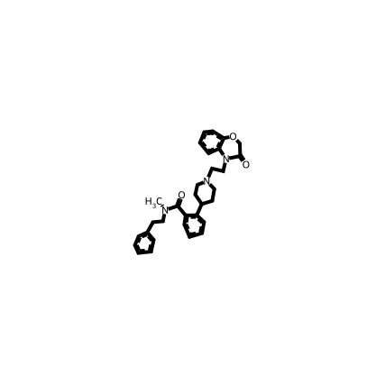 CN(CCc1ccccc1)C(=O)c1ccccc1C1CCN(CCN2C(=O)COc3ccccc32)CC1